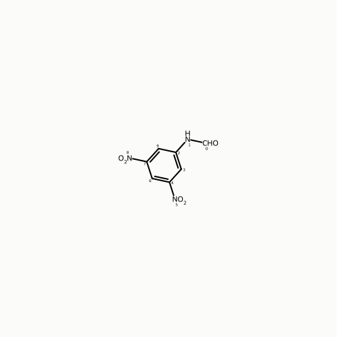 O=CNc1cc([N+](=O)[O-])cc([N+](=O)[O-])c1